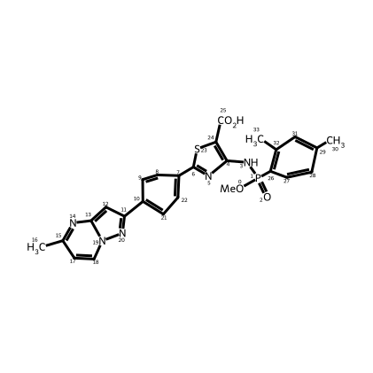 COP(=O)(Nc1nc(-c2ccc(-c3cc4nc(C)ccn4n3)cc2)sc1C(=O)O)c1ccc(C)cc1C